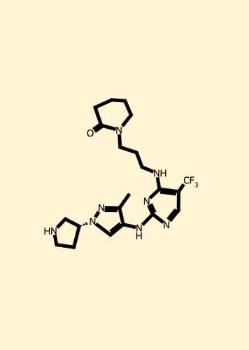 Cc1nn([C@@H]2CCNC2)cc1Nc1ncc(C(F)(F)F)c(NCCCN2CCCCC2=O)n1